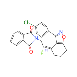 O=C1c2ccccc2C(=O)N1C/C(F)=C1/CCCc2onc(-c3ccc(Cl)cc3)c21